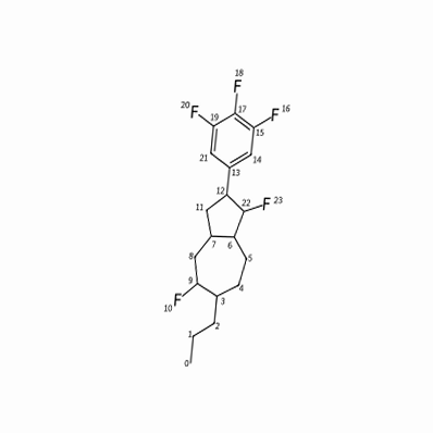 CCCC1CCC2C(CC1F)CC(c1cc(F)c(F)c(F)c1)C2F